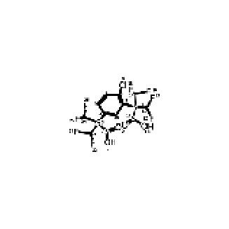 O=S(O)S(c1ccc(Cl)c(S(C(F)F)(C(F)F)S(=O)O)c1)(C(F)F)C(F)F